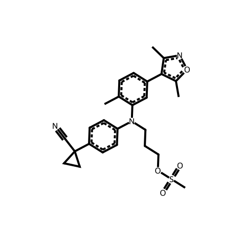 Cc1ccc(-c2c(C)noc2C)cc1N(CCCOS(C)(=O)=O)c1ccc(C2(C#N)CC2)cc1